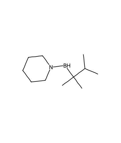 CC(C)C(C)(C)BN1CCCCC1